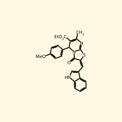 CCOC(=O)C1=C(C)N=c2s/c(=C/c3c[nH]c4ccccc34)c(=O)n2C1c1ccc(OC)cc1